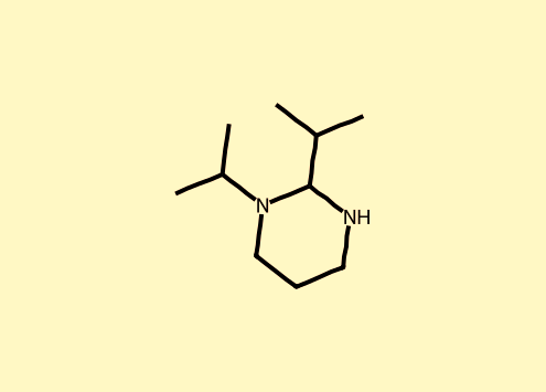 CC(C)C1NCCCN1C(C)C